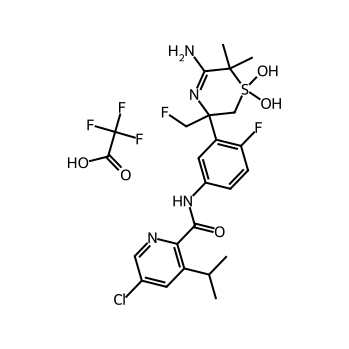 CC(C)c1cc(Cl)cnc1C(=O)Nc1ccc(F)c(C2(CF)CS(O)(O)C(C)(C)C(N)=N2)c1.O=C(O)C(F)(F)F